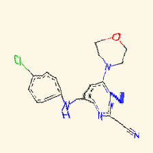 N#Cc1nc(Nc2ccc(Cl)cc2)cc(N2CCOCC2)n1